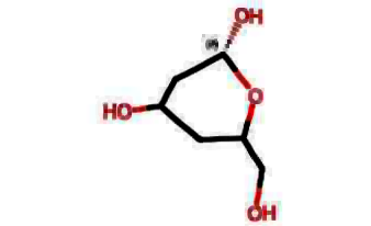 OCC1CC(O)C[C@H](O)O1